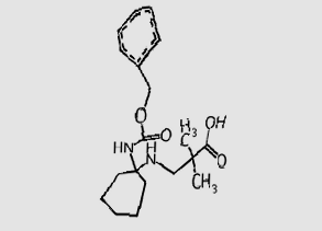 CC(C)(CNC1(NC(=O)OCc2ccccc2)CCCCC1)C(=O)O